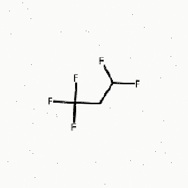 F[C](F)CC(F)(F)F